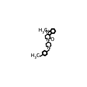 CCc1ccc(CN2CCC(N3CCc4c(c5ccccc5n4C)C3=O)CC2)cc1